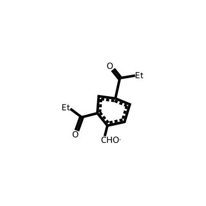 CCC(=O)c1ccc([C]=O)c(C(=O)CC)c1